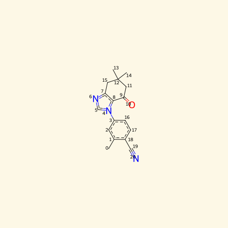 Cc1cc(-n2cnc3c2C(=O)CC(C)(C)C3)ccc1C#N